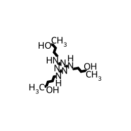 CC(O)CCCNc1nc(NCCCC(C)O)nc(NCCCC(C)O)n1